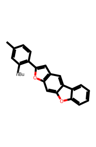 CCCCc1cc(C)ccc1-c1cc2cc3c(cc2o1)oc1ccccc13